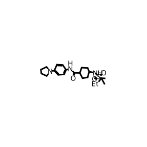 CCC(C)(C)S(=O)(=O)NC1CCC(C(=O)Nc2ccc(N3CCCC3)cc2)CC1